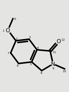 COC1=CC2=C(CC1)CN(C)C2=O